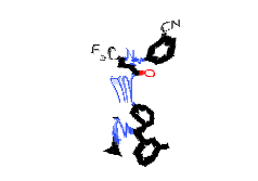 Cc1cccc(C(c2cccc(NC(=O)c3cc(C(F)(F)F)nn3-c3cccc(C#N)c3)c2)N(C)C2CC2)c1